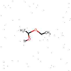 CCOC(C)[O][Ti]